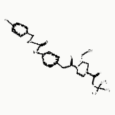 CC(C)(C)OC(=O)N1CCN(C(=O)Cc2ccc(NC(=O)NCc3ccc(Cl)cc3)cc2)[C@H](CO)C1